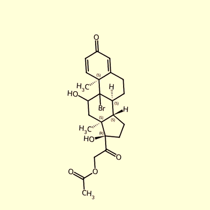 CC(=O)OCC(=O)[C@@]1(O)CC[C@H]2[C@@H]3CCC4=CC(=O)C=C[C@]4(C)C3(Br)C(O)C[C@@]21C